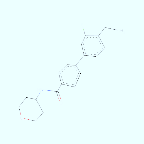 CCc1ccc(-c2ccc(C(=O)NC3CCOCC3)cc2)cc1F